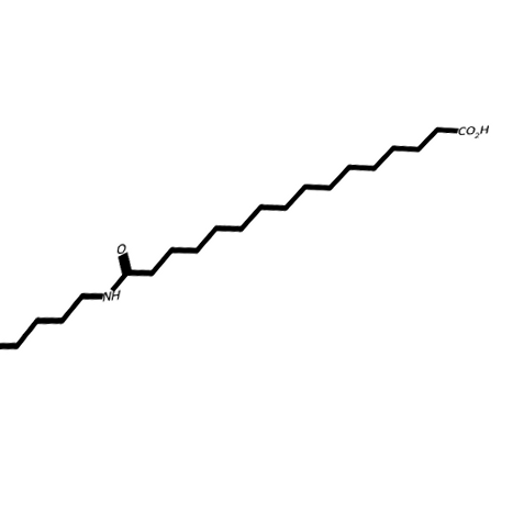 N[C@H](C=O)CCCCNC(=O)CCCCCCCCCCCCCCC(=O)O